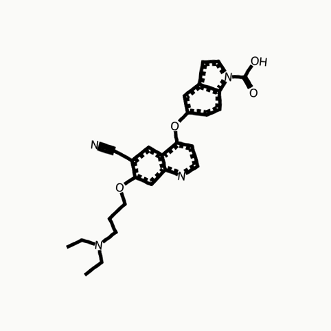 CCN(CC)CCCOc1cc2nccc(Oc3ccc4c(ccn4C(=O)O)c3)c2cc1C#N